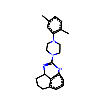 Cc1ccc(C)c(N2CCN(C3=NC4CCCc5cccc(c54)N3)CC2)c1